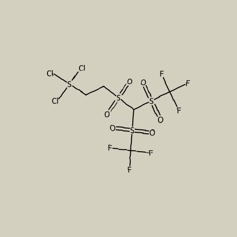 O=S(=O)(CCS(Cl)(Cl)Cl)C(S(=O)(=O)C(F)(F)F)S(=O)(=O)C(F)(F)F